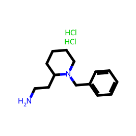 Cl.Cl.NCCC1CCCCN1Cc1ccccc1